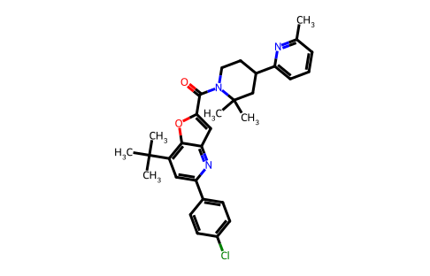 Cc1cccc(C2CCN(C(=O)c3cc4nc(-c5ccc(Cl)cc5)cc(C(C)(C)C)c4o3)C(C)(C)C2)n1